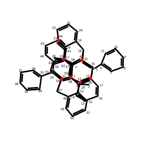 CC12C(C3=C(P(c4ccccc4)c4ccccc4)C4c5ccccc5C3(C)c3ccccc34)=C(P(c3ccccc3)c3ccccc3)C(c3ccccc31)c1ccccc12